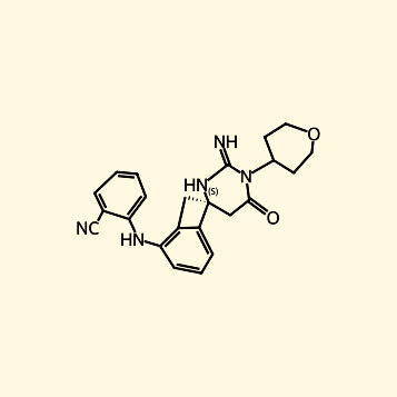 N#Cc1ccccc1Nc1cccc2c1C[C@]21CC(=O)N(C2CCOCC2)C(=N)N1